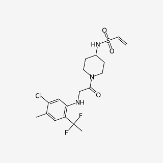 C=CS(=O)(=O)NC1CCN(C(=O)CNc2cc(Cl)c(C)cc2C(C)(F)F)CC1